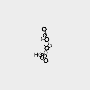 Cc1cc(OCP(=O)(O)Oc2ccccc2)cc2c1[C@@H](c1ccc(OCc3ccccc3)c(C(C)C)c1)CC2